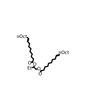 CCCCCCCCC=CCCCCCCCC(=O)OCC(CC)OC(=O)CCCCCCCC=CCCCCCCCC